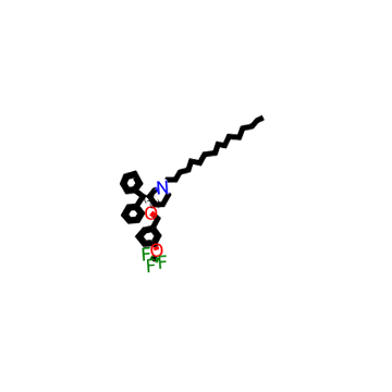 CCCCCCCCCCCCCCCCN1CC[C@@H](OCc2cccc(OC(F)(F)F)c2)[C@@H](C(c2ccccc2)c2ccccc2)C1